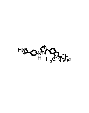 C=C(NC)C1Cc2ccc(-c3nccc(Nc4ccc(-c5cn[nH]c5)cc4)n3)cc2N1C